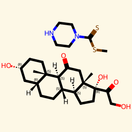 CSC(=S)N1CCNCC1.C[C@]12CC[C@@H](O)C[C@H]1CC[C@@H]1[C@@H]2C(=O)C[C@@]2(C)[C@H]1CC[C@]2(O)C(=O)CO